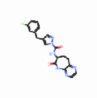 O=C1Nc2nccnc2CCC1NC(=O)n1cc(Cc2cccc(F)c2)cn1